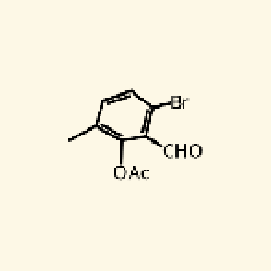 CC(=O)Oc1c(C)ccc(Br)c1C=O